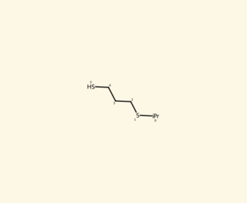 CC(C)SCCCS